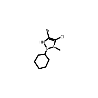 CN1C(Cl)=C(Br)NN1C1CCCCC1